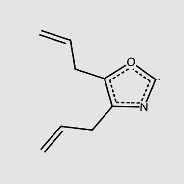 C=CCc1n[c]oc1CC=C